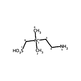 C[N+](C)(CCN)CS(=O)(=O)O